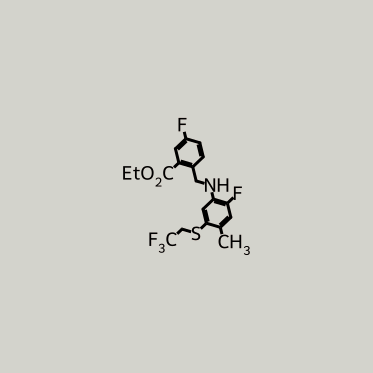 CCOC(=O)c1cc(F)ccc1CNc1cc(SCC(F)(F)F)c(C)cc1F